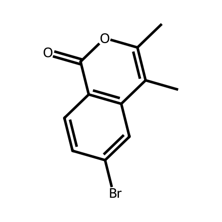 Cc1oc(=O)c2ccc(Br)cc2c1C